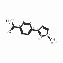 CC(=O)c1ccc(-c2ccn(C)n2)cc1